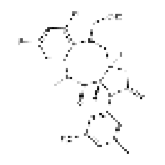 Cc1cc(C(F)(F)F)cc(N2C(=O)C[C@@H]3CN(CC=O)c4c(Cl)cc(F)cc4N(C)C(=O)[C@H]32)n1